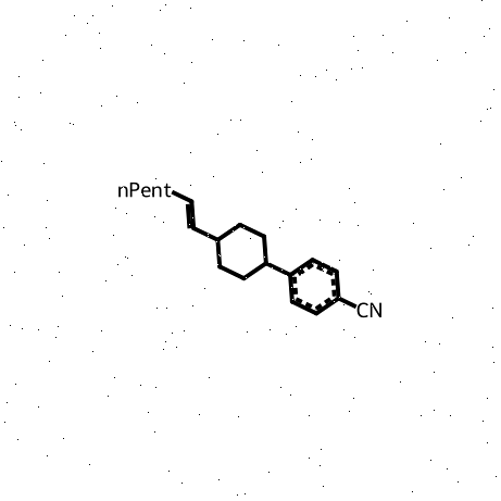 CCCCCC=CC1CCC(c2ccc(C#N)cc2)CC1